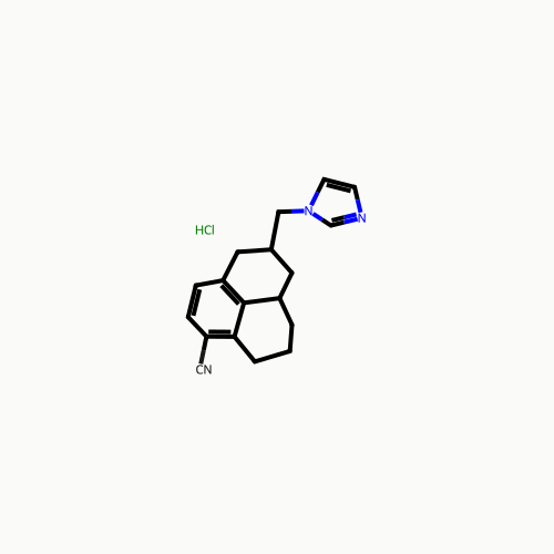 Cl.N#Cc1ccc2c3c1CCCC3CC(Cn1ccnc1)C2